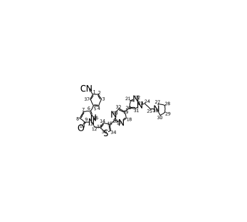 [C-]#[N+]c1cccc(-c2ccc(=O)n(Cc3cc(-c4ncc(-c5cnn(CCN6CCCC6)c5)cn4)cs3)n2)c1